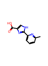 Cc1cccc(-c2nc(C(=O)O)c[nH]2)n1